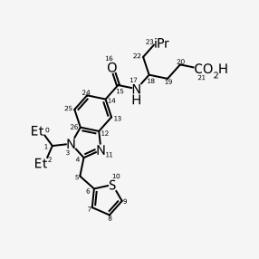 CCC(CC)n1c(Cc2cccs2)nc2cc(C(=O)NC(CCC(=O)O)CC(C)C)ccc21